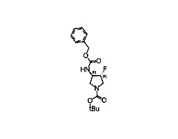 CC(C)(C)OC(=O)N1C[C@@H](F)[C@H](NC(=O)OCc2ccccc2)C1